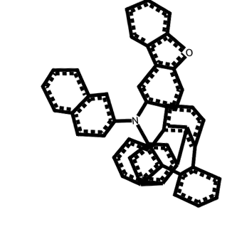 c1ccc2c(c1)-c1cccc3c1-c1cc(N(c4ccc5ccccc5c4)c4ccc5oc6ccccc6c5c4)ccc1-c1cccc-3c1-2